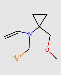 C=CN(CP)C1(COC)CC1